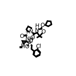 C=C[C@@H]1C[C@]1(NC(=O)[C@@H]1CCCN1C(=O)[C@@H](NC(=O)OC1CCCC1)C(C)(C)C)P(=O)(O)CCc1ccccc1Cl